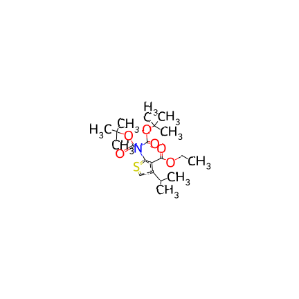 CCOC(=O)c1c(C(C)C)csc1N(C(=O)OC(C)(C)C)C(=O)OC(C)(C)C